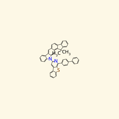 CC1(C)c2ccccc2-c2ccc3cc4c5ccccc5n(-c5cc6c(sc7ccccc76)c(-c6ccc(-c7ccccc7)cc6)n5)c4cc3c21